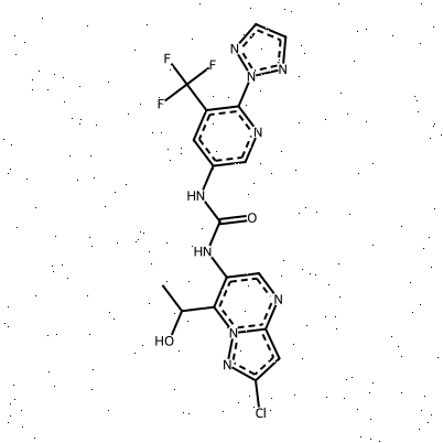 CC(O)c1c(NC(=O)Nc2cnc(-n3nccn3)c(C(F)(F)F)c2)cnc2cc(Cl)nn12